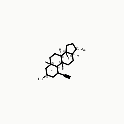 C#CC1C[C@@H](O)C[C@@H]2CC[C@H]3[C@@H]4CC[C@H](C(C)=O)[C@@]4(C)CC[C@@H]3[C@@]12C